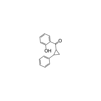 O=C(c1ccccc1O)C1CC1c1ccccc1